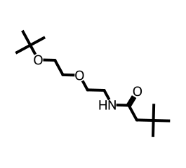 CC(C)(C)CC(=O)NCCOCCOC(C)(C)C